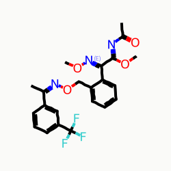 CO/N=C(/C(=NC(C)=O)OC)c1ccccc1CON=C(C)c1cccc(C(F)(F)F)c1